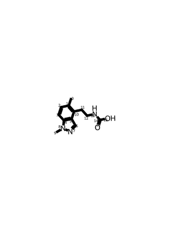 Cc1ccc2c(cnn2C)c1CCNC(=O)O